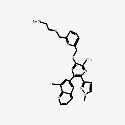 COCCOCc1cccc(COc2nc(-c3cc(Cl)c4ncccc4c3)c(-c3ccn(C)n3)nc2N)n1